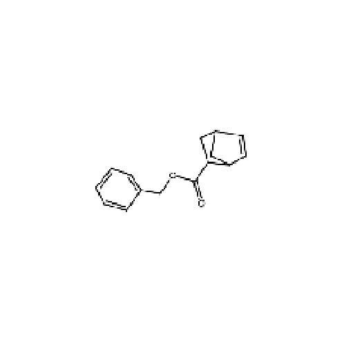 O=C(OCc1ccccc1)C1CC2C=CC1C2